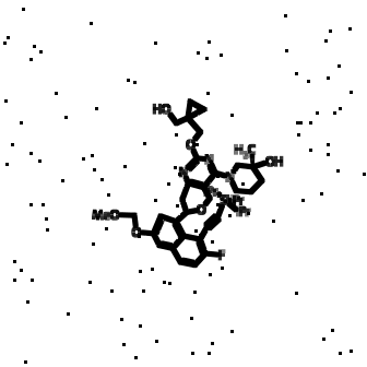 COCOc1cc(C2Cc3nc(OCC4(CO)CC4)nc(N4CCC[C@@](C)(O)C4)c3CO2)c2c(C#C[Si](C(C)C)(C(C)C)C(C)C)c(F)ccc2c1